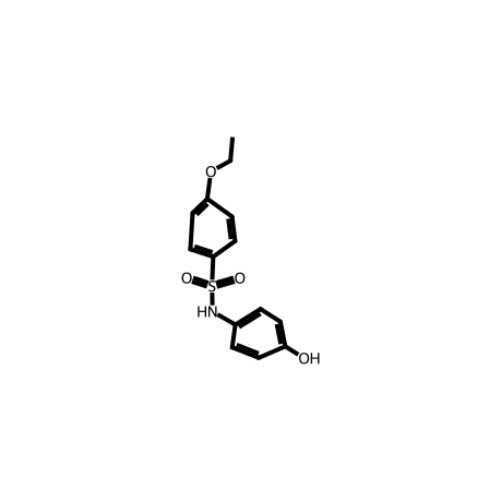 CCOc1ccc(S(=O)(=O)Nc2ccc(O)cc2)cc1